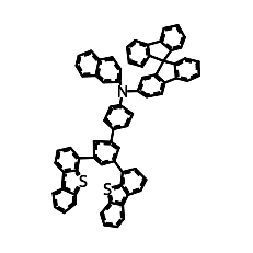 c1ccc2c(c1)-c1ccccc1C21c2ccccc2-c2ccc(N(c3ccc(-c4cc(-c5cccc6c5sc5ccccc56)cc(-c5cccc6c5sc5ccccc56)c4)cc3)c3ccc4ccccc4c3)cc21